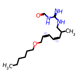 CCCCCCOC/C=C\C=C/C(C)CNC(=N)NC=O